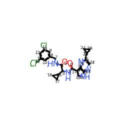 O=C(NC(C(=O)NCc1cc(Cl)cc(Cl)c1)C1CC1)c1c[nH]c2ncc(C3CC3)nc12